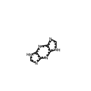 c1nc2nc3[nH]cnc3nc2[nH]1